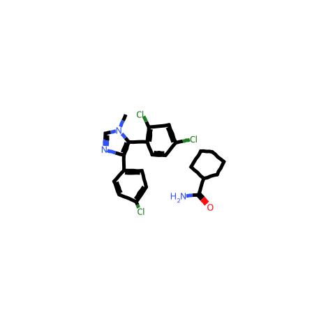 Cn1cnc(-c2ccc(Cl)cc2)c1-c1ccc(Cl)cc1Cl.NC(=O)C1CCCCC1